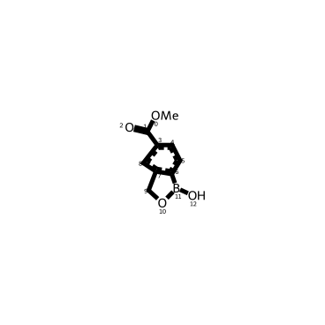 COC(=O)c1ccc2c(c1)COB2O